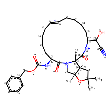 CC1(C)C[C@H]2[C@H](CN3C(=O)[C@@H](NC(=O)OCc4ccccc4)CCCC/C=C/CCCC[C@@H](C(O)C#N)NC(=O)[C@H]23)O1